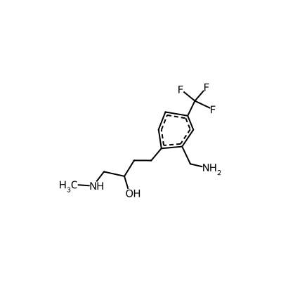 CNCC(O)CCc1ccc(C(F)(F)F)cc1CN